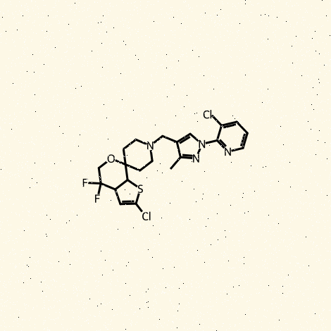 Cc1nn(-c2ncccc2Cl)cc1CN1CCC2(CC1)OCC(F)(F)C1C=C(Cl)SC12